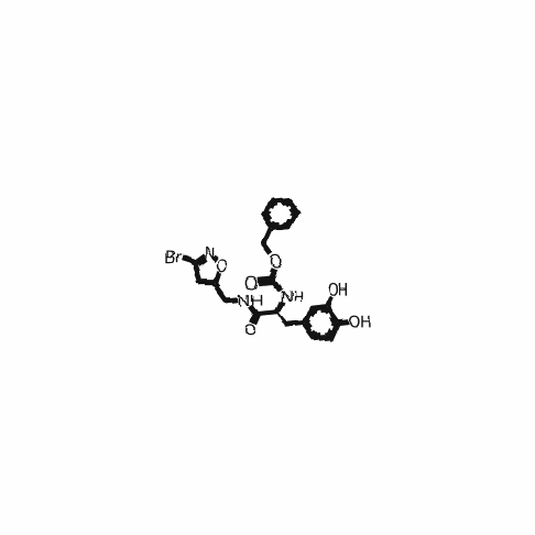 O=C(N[C@@H](Cc1ccc(O)c(O)c1)C(=O)NCC1CC(Br)=NO1)OCc1ccccc1